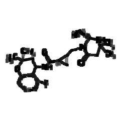 CC1(C)CC(=O)N(CC2C[C@H]2C(=O)NC2CC(C)(C)Oc3cccc(F)c32)C(=N)N1